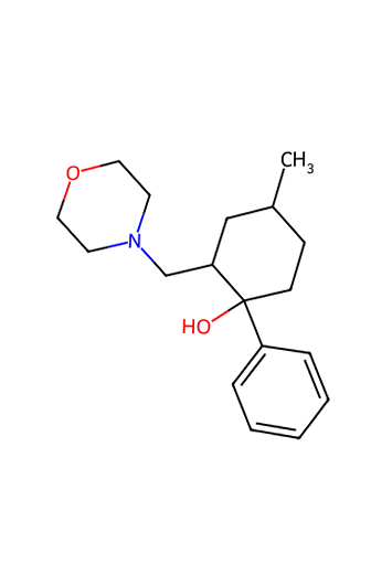 CC1CCC(O)(c2ccccc2)C(CN2CCOCC2)C1